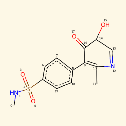 CNS(=O)(=O)c1ccc(C2=C(C)N=CC(O)C2=O)cc1